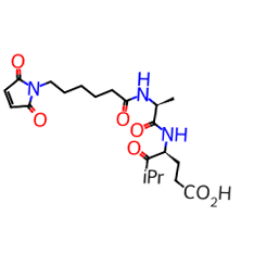 CC(C)C(=O)[C@H](CCC(=O)O)NC(=O)[C@H](C)NC(=O)CCCCCN1C(=O)C=CC1=O